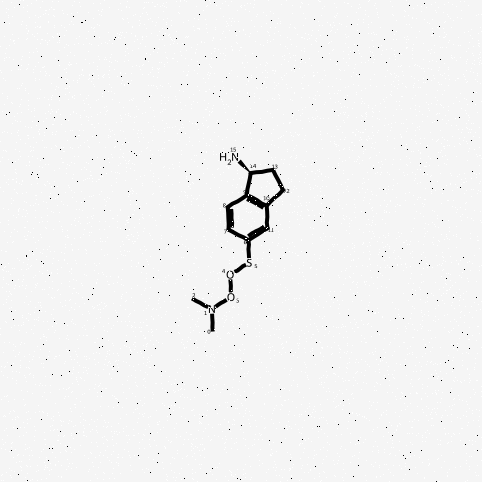 CN(C)OOSc1ccc2c(c1)CC[C@@H]2N